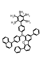 Bc1c(B)c(B)c(-c2ccc(N(c3ccc(-c4cccc5ccccc45)cc3)c3cc(-c4ccccc4)cc4c3oc3c(-c5ccccc5)cccc34)cc2)c(B)c1B